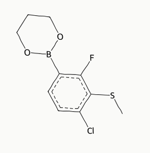 CSc1c(Cl)ccc(B2OCCCO2)c1F